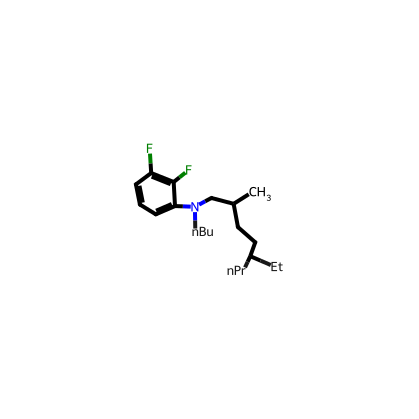 CCCCN(CC(C)CCC(CC)CCC)c1cccc(F)c1F